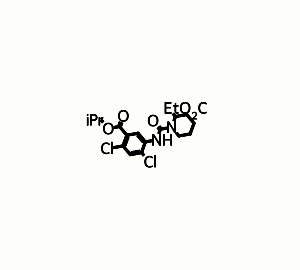 CCOC(=O)C1CCCCN1C(=O)Nc1cc(C(=O)OC(C)C)c(Cl)cc1Cl